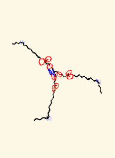 CCCC/C=C\CCCCCCCCOC(=O)CCOCC(COCCC(=O)OCCCCCCCC/C=C\CCCC)(COCCC(=O)OCCCCCCCC/C=C\CCCC)N(C)C